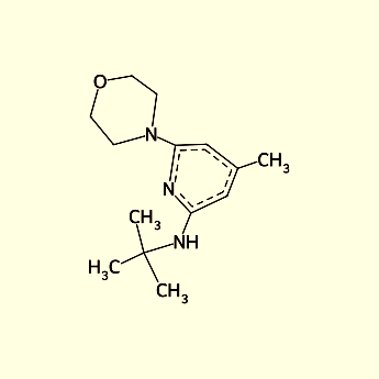 Cc1cc(NC(C)(C)C)nc(N2CCOCC2)c1